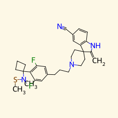 C=C1Nc2ccc(C#N)cc2C12CCN(CCCc1cc(F)c(C3(N(C)SC)CCC3)c(F)c1)CC2